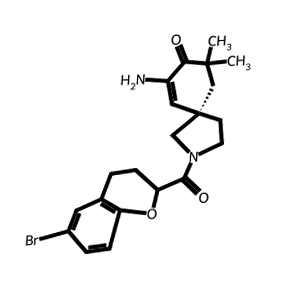 CC1(C)C[C@]2(C=C(N)C1=O)CCN(C(=O)C1CCc3cc(Br)ccc3O1)C2